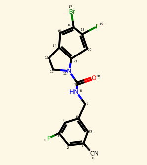 N#Cc1cc(F)cc(CNC(=O)N2CCc3cc(Br)c(F)cc32)c1